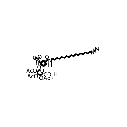 CC(=O)O[C@@H]1[C@H](OC(C)=O)[C@H](OC(C)=O)C(Oc2ccc(C(=O)NCCCCCCCCCCCCCCCCCN=[N+]=[N-])cc2O[SH](=O)=O)O[C@@H]1C(=O)O